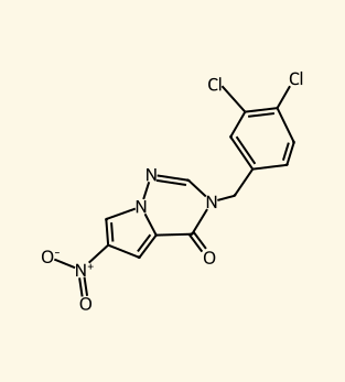 O=c1c2cc([N+](=O)[O-])cn2ncn1Cc1ccc(Cl)c(Cl)c1